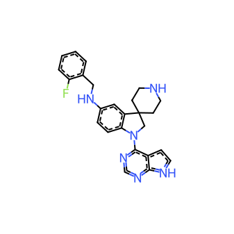 Fc1ccccc1CNc1ccc2c(c1)C1(CCNCC1)CN2c1ncnc2[nH]ccc12